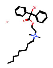 CCCCCCCC[N+](C)(C)CCOC(=O)C(O)(c1ccccc1)c1ccccc1.[Br-]